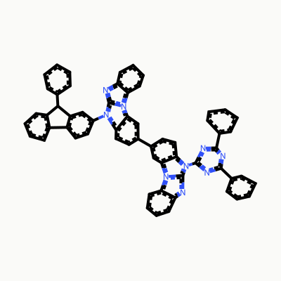 c1ccc(-c2nc(-c3ccccc3)nc(-n3c4ccc(-c5ccc6c(c5)n5c7ccccc7nc5n6-c5ccc6c(c5)C(c5ccccc5)c5ccccc5-6)cc4n4c5ccccc5nc34)n2)cc1